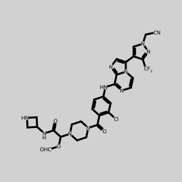 N#CCn1cc(-c2cnc3c(Nc4ccc(C(=O)N5CCN(C(OC=O)C(=O)NC6CNC6)CC5)c(Cl)c4)nccn23)c(C(F)(F)F)n1